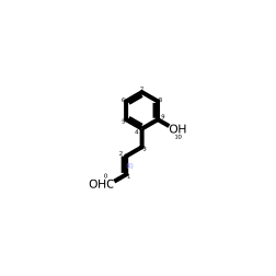 O=C/C=C/Cc1ccccc1O